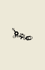 Cc1c(Nc2ccc(C#N)cc2Cl)ncnc1OC1CC2COCC(C1)N2